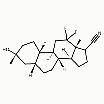 C[C@@]1(O)CC[C@H]2[C@H](CC[C@@H]3[C@@H]2CC(F)(F)[C@]2(C)C(C#N)CC[C@@H]32)C1